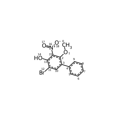 COc1c(-c2ccccc2)cc(Br)c(O)c1[N+](=O)[O-]